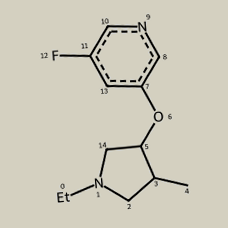 CCN1CC(C)C(Oc2cncc(F)c2)C1